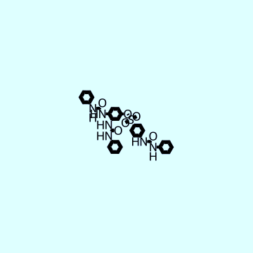 O=C(Nc1ccccc1)Nc1ccc(S(=O)(=O)Oc2ccc(NC(=O)Nc3ccccc3)c(NC(=O)Nc3ccccc3)c2)cc1